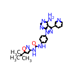 CC(C)(C)c1cc(NC(=O)Nc2ccc(-n3nc(-c4cccnc4)c4c(N)ncnc43)cc2)no1